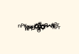 CCCN(CCC)CCCOc1ccc2c(=O)c3c(n(C)c2c1)C=CC(OCCCN(CCC)CCC)C3